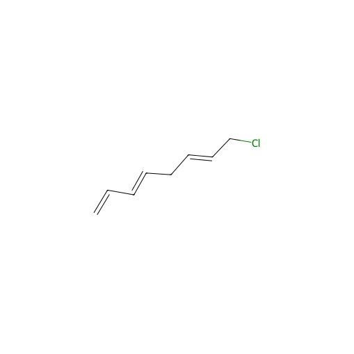 C=CC=CCC=CCCl